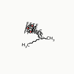 CCCCCCC[N+](CCCC)(CCCC)CCCC.NS(=O)(=O)C(S(=O)(=O)C(F)(F)F)(S(=O)(=O)C(F)(F)F)S(=O)(=O)C(F)(F)F